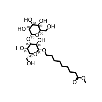 COC(=O)CCCCCCCCO[C@@H]1O[C@H](CO)[C@H](O)[C@H](O[C@H]2O[C@H](CO)[C@H](O)[C@H](O)[C@H]2O)[C@H]1O